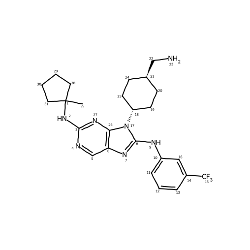 CC1(Nc2ncc3nc(Nc4cccc(C(F)(F)F)c4)n([C@H]4CC[C@H](CN)CC4)c3n2)CCCC1